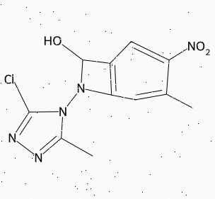 Cc1cc2c(cc1[N+](=O)[O-])C(O)N2n1c(C)nnc1Cl